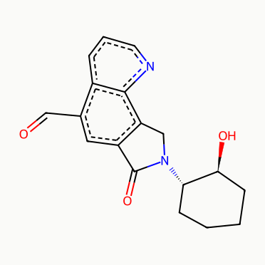 O=Cc1cc2c(c3ncccc13)CN([C@H]1CCCC[C@@H]1O)C2=O